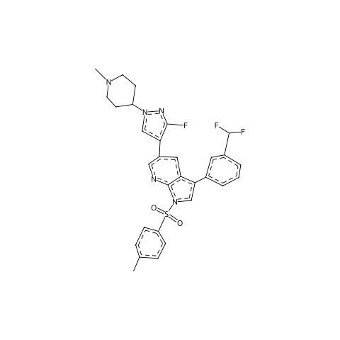 Cc1ccc(S(=O)(=O)n2cc(-c3cccc(C(F)F)c3)c3cc(-c4cn(C5CCN(C)CC5)nc4F)cnc32)cc1